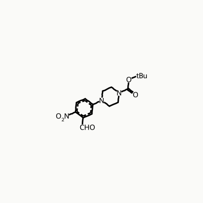 CC(C)(C)OC(=O)N1CCN(c2ccc([N+](=O)[O-])c(C=O)c2)CC1